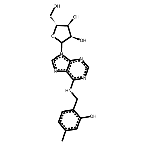 Cc1ccc(CNc2ncnc3c2ncn3C2O[C@H](CO)[C@@H](O)[C@H]2O)c(O)c1